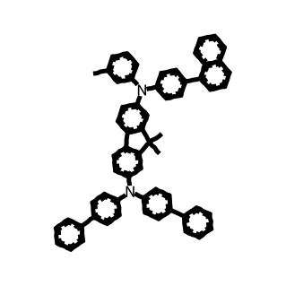 Cc1cccc(N(c2ccc(-c3cccc4ccccc34)cc2)c2ccc3c(c2)C(C)(C)c2cc(N(c4ccc(-c5ccccc5)cc4)c4ccc(-c5ccccc5)cc4)ccc2-3)c1